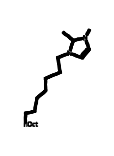 CCCCCCCCCCCCCCCN1C=CN(C)C1C